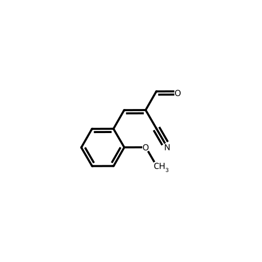 COc1ccccc1/C=C(\C#N)C=O